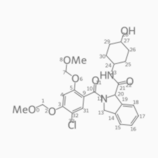 COCOc1cc(OCOC)c(C(=O)N2Cc3ccccc3C2C(=O)NC2CCC(O)CC2)cc1Cl